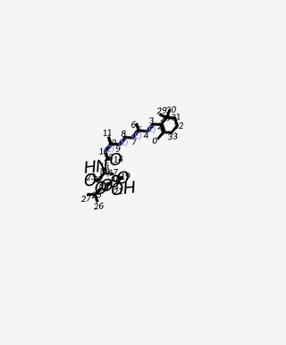 CC1=C(/C=C/C(C)=C/C=C/C(C)=C\C(=O)N[C@@H](CS(=O)(=O)O)C(=O)OC(C)C)C(C)(C)CCC1